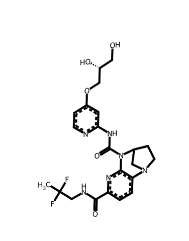 CC(F)(F)CNC(=O)c1ccc2c(n1)N(C(=O)Nc1cc(OC[C@H](O)CO)ccn1)C1CCN2C1